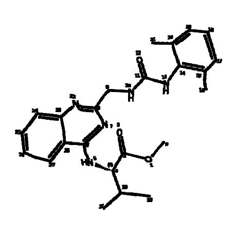 COC(=O)[C@@H](Nc1nc(CNC(=O)Nc2c(C)cccc2C)nc2ccccc12)C(C)C